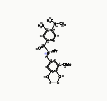 CCC/C(=C\c1cc(OC)c2c(c1)OCCO2)C(=O)c1ccc(N(C)C)c(N)c1